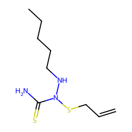 C=CCSN(NCCCCC)C(N)=S